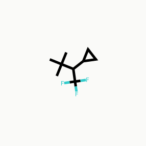 CC(C)(C)C(C1CC1)C(F)(F)F